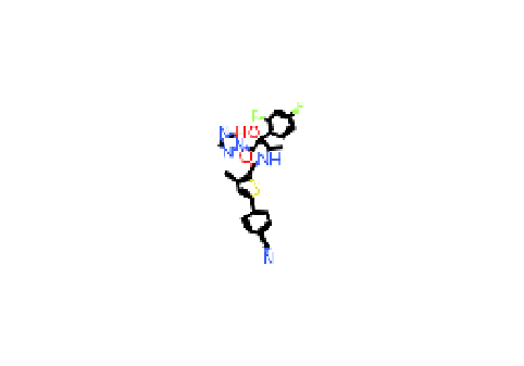 Cc1cc(-c2ccc(C#N)cc2)sc1C(=O)NC(C)C(O)(Cn1cncn1)c1ccc(F)cc1F